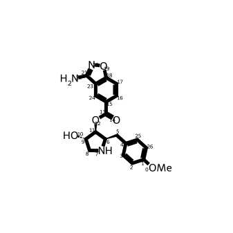 COc1ccc(C[C@H]2NC[C@H](O)[C@H]2OC(=O)c2ccc3onc(N)c3c2)cc1